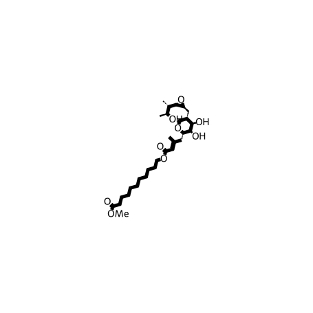 COC(=O)CCCCCCCCCCOC(=O)/C=C(\C)C[C@@H]1OC[C@H](C[C@@H]2O[C@H]2[C@@H](C)[C@H](C)O)[C@@H](O)[C@H]1O